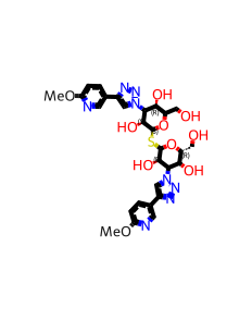 COc1ccc(-c2cn(C3C(O)[C@@H](CO)OC(S[C@@H]4OC(CO)[C@H](O)C(n5cc(-c6ccc(OC)nc6)nn5)[C@@H]4O)[C@@H]3O)nn2)cn1